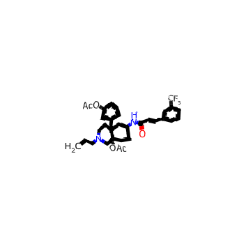 C=CCN1CCC2(c3cccc(OC(C)=O)c3)CC(NC(=O)/C=C/c3cccc(C(F)(F)F)c3)CCC2(OC(C)=O)C1